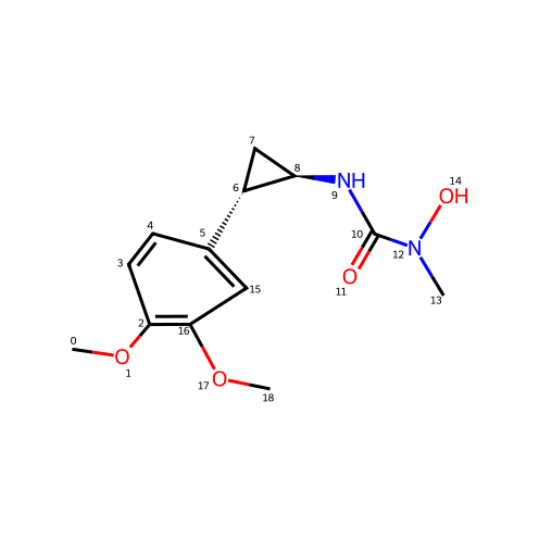 COc1ccc([C@@H]2C[C@H]2NC(=O)N(C)O)cc1OC